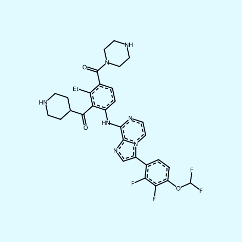 CCc1c(C(=O)N2CCNCC2)ccc(Nc2nccn3c(-c4ccc(OC(F)F)c(F)c4F)cnc23)c1C(=O)C1CCNCC1